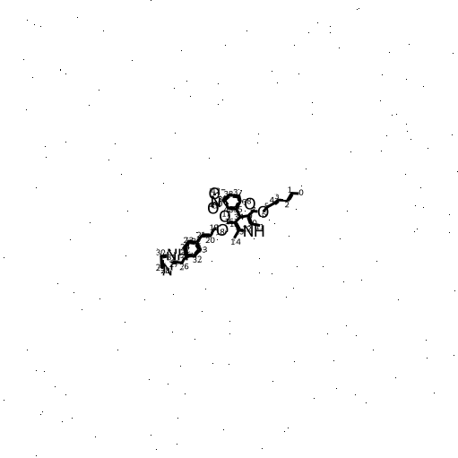 CC=CC=CCOC(=O)C1=C(C)NC(C)=C(C(=O)OCC=Cc2ccc(Cc3ncc[nH]3)cc2)C1c1cccc([N+](=O)[O-])c1